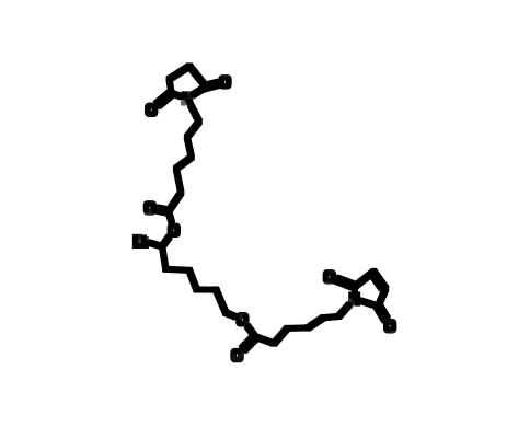 CCC(CCCCCOC(=O)CCCCCN1C(=O)C=CC1=O)OC(=O)CCCCCN1C(=O)CCC1=O